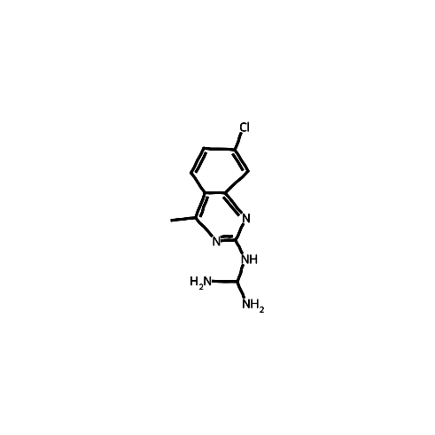 Cc1nc(NC(N)N)nc2cc(Cl)ccc12